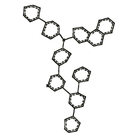 c1ccc(-c2ccc(N(c3ccc(-c4cncc(-c5cc(-c6ccccc6)ccc5-c5ccccc5)c4)cc3)c3ccc4c(ccc5ccccc54)c3)cc2)cc1